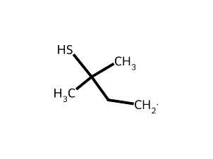 [CH2]CC(C)(C)S